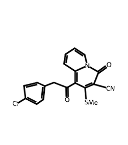 CSc1c(C#N)c(=O)n2ccccc2c1C(=O)Cc1ccc(Cl)cc1